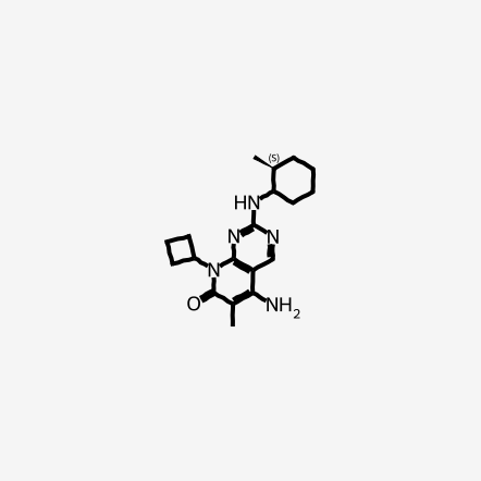 Cc1c(N)c2cnc(NC3CCCC[C@@H]3C)nc2n(C2CCC2)c1=O